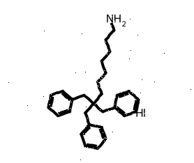 I.NCCCCCCCC(Cc1ccccc1)(Cc1ccccc1)Cc1ccccc1